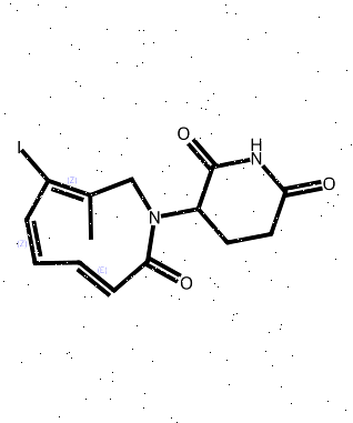 C\C1=C(I)/C=C\C=C\C(=O)N(C2CCC(=O)NC2=O)C1